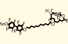 CCC1CC(CC2CC(CC(C)O)OC(CCCCCCCCCCOc3c(F)c(F)c(-c4c(F)c(F)c(OC)c(F)c4F)c(F)c3F)O2)OC(C)O1